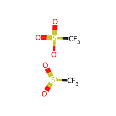 O=S(=O)([O-])C(F)(F)F.O=[S+](=O)C(F)(F)F